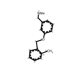 CNCc1cccc(OCc2ccccc2C)c1